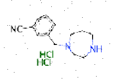 Cl.Cl.N#Cc1cccc(CN2CCCNCC2)c1